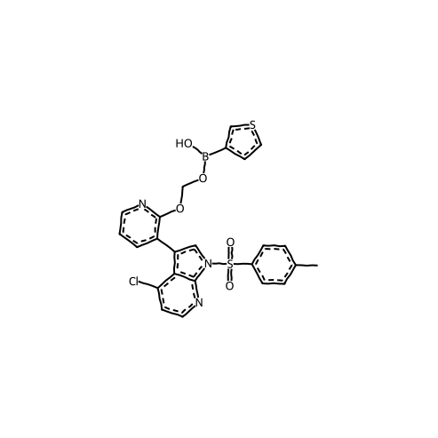 Cc1ccc(S(=O)(=O)n2cc(-c3cccnc3OCOB(O)c3ccsc3)c3c(Cl)ccnc32)cc1